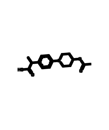 CC(=O)OC1CCN(c2ccc(C(C)C(=O)O)cc2)CC1